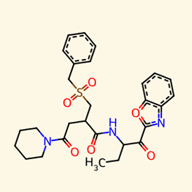 CCC(NC(=O)C(CC(=O)N1CCCCC1)CS(=O)(=O)Cc1ccccc1)C(=O)c1nc2ccccc2o1